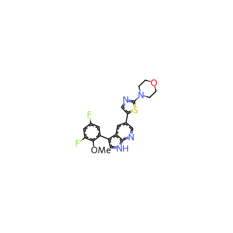 COc1c(F)cc(F)cc1-c1c[nH]c2ncc(-c3cnc(N4CCOCC4)s3)cc12